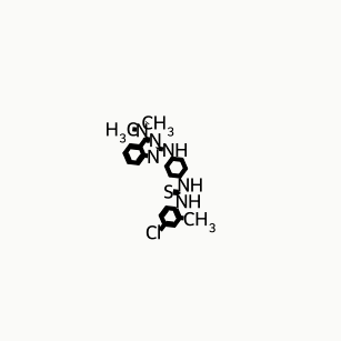 Cc1cc(Cl)ccc1NC(=S)N[C@H]1CC[C@@H](Nc2nc(N(C)C)c3ccccc3n2)CC1